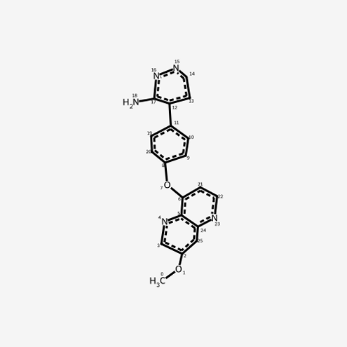 COc1cnc2c(Oc3ccc(-c4ccnnc4N)cc3)ccnc2c1